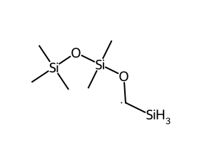 C[Si](C)(C)O[Si](C)(C)O[CH][SiH3]